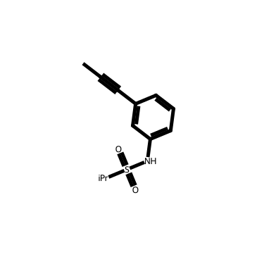 CC#Cc1cccc(NS(=O)(=O)C(C)C)c1